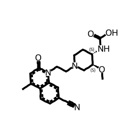 CO[C@H]1CN(CCn2c(=O)cc(C)c3ccc(C#N)cc32)CC[C@@H]1NC(=O)O